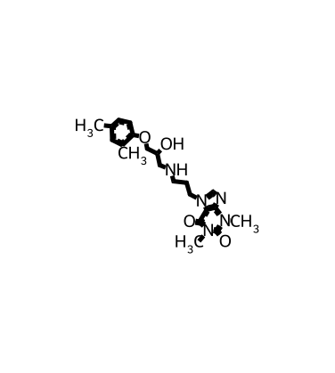 Cc1ccc(OCC(O)CNCCCn2cnc3c2c(=O)n(C)c(=O)n3C)c(C)c1